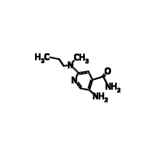 CCCN(C)c1cc(C(N)=O)c(N)cn1